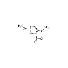 COc1ccc(OC)c(C(=O)Cl)n1